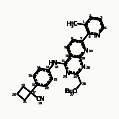 Cc1cccnc1-c1ccc2c(Nc3ccc(C4(C#N)CCC4)cc3)nc(COCC(C)C)nc2n1